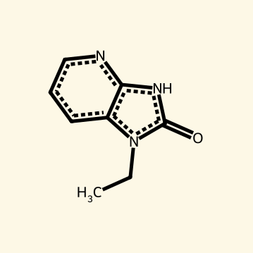 CCn1c(=O)[nH]c2ncccc21